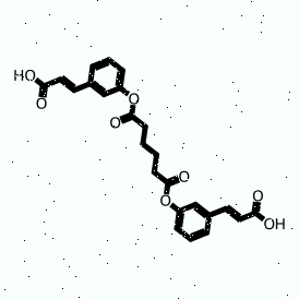 O=C(O)C=Cc1cccc(OC(=O)CCCCC(=O)Oc2cccc(C=CC(=O)O)c2)c1